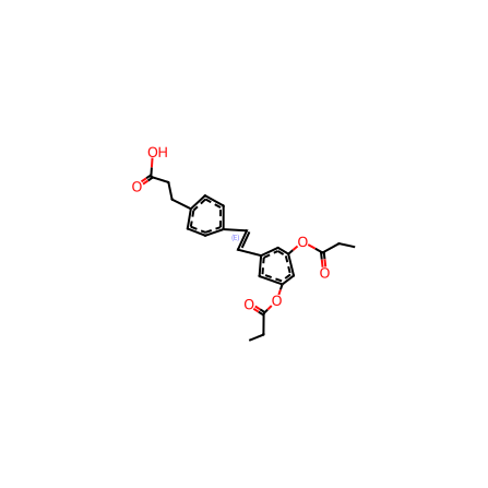 CCC(=O)Oc1cc(/C=C/c2ccc(CCC(=O)O)cc2)cc(OC(=O)CC)c1